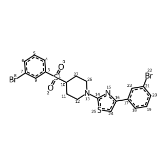 O=S(=O)(c1cccc(Br)c1)C1CCN(c2nc(-c3cccc(Br)c3)cs2)CC1